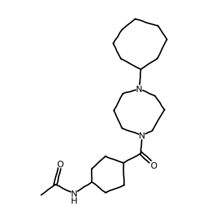 CC(=O)NC1CCC(C(=O)N2CCCN(C3CCCCCCC3)CCC2)CC1